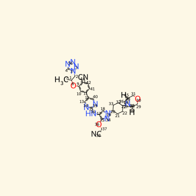 CC(Cn1cnnn1)Oc1cc(-c2cnc(Nc3cn(C4CCC(N5[C@@H]6CC[C@H]5COC6)CC4)nc3OCC#N)nc2)ccc1C#N